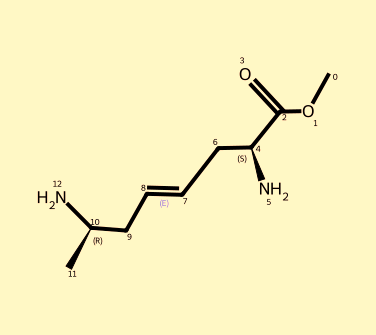 COC(=O)[C@@H](N)C/C=C/C[C@@H](C)N